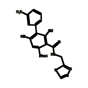 CCCCCc1cc(O)c(-c2cccc(C)c2)c(O)c1C(=O)NCc1nnco1